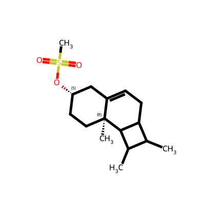 CC1C(C)C2C1CC=C1C[C@@H](OS(C)(=O)=O)CC[C@@]12C